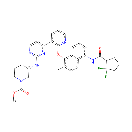 Cc1ccc2c(NC(=O)C3CCCC3(F)F)cccc2c1Oc1ncccc1-c1ccnc(N[C@H]2CCCN(C(=O)OC(C)(C)C)C2)n1